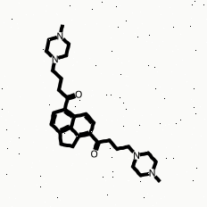 CN1CCN(CCCC(=O)c2ccc3c(C(=O)CCCN4CCN(C)CC4)ccc4c3c2CC4)CC1